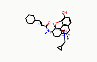 CN(C(=O)/C=C/C1CCCCC1)[C@@H]1CC[C@@]2(O)[C@H]3Cc4ccc(O)c5c4[C@@]2(CCN3CC2CC2)[C@H]1O5